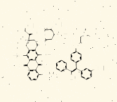 CCC(=C(c1ccc(OCCN(C)C)cc1)c1cccc(O)c1)c1ccccc1.COc1cccc2c1C(=O)c1c(O)c3c(c(O)c1C2=O)C[C@@](O)(C(=O)CO)C[C@@H]3O[C@H]1C[C@H](N)[C@H](O)[C@H](C)O1